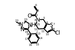 C=CC(=O)N1Cc2sc(Cl)cc2[C@H](c2ccccc2-c2n[n+](C)c[nH]2)C1